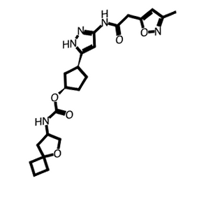 Cc1cc(CC(=O)Nc2cc([C@H]3CC[C@@H](OC(=O)NC4COC5(CCC5)C4)C3)[nH]n2)on1